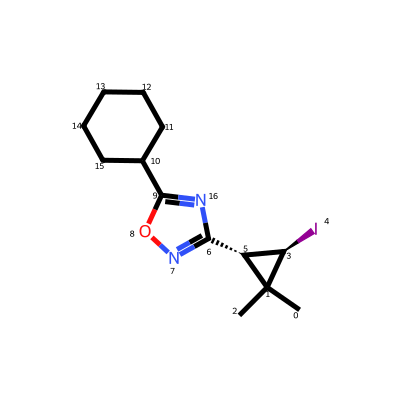 CC1(C)[C@H](I)[C@H]1c1noc(C2CCCCC2)n1